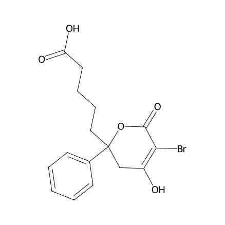 O=C(O)CCCCC1(c2ccccc2)CC(O)=C(Br)C(=O)O1